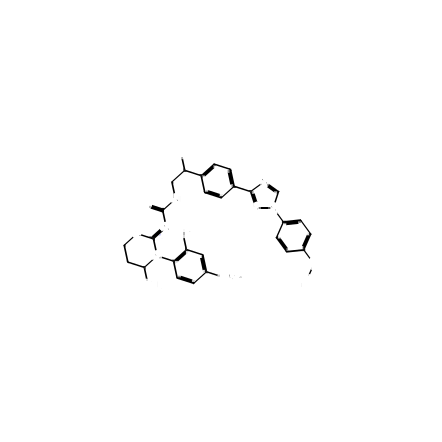 COc1ccc(N2/C(=N/C(=O)NCC(C)c3ccc(-c4ncn(-c5ccc(OC(F)(F)F)cc5)n4)cc3)SCCC2C)c(C(C)C)c1